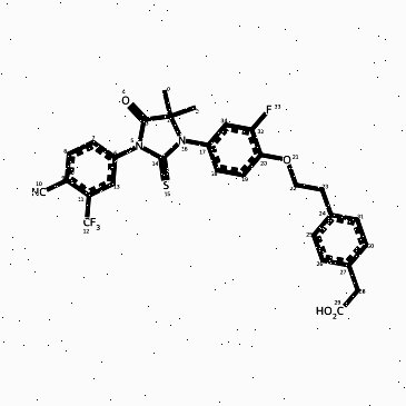 CC1(C)C(=O)N(c2ccc(C#N)c(C(F)(F)F)c2)C(=S)N1c1ccc(OCCc2ccc(CC(=O)O)cc2)c(F)c1